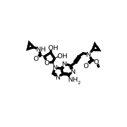 COC(=O)N(CC#Cc1nc(N)c2ncn([C@@H]3O[C@H](C(=O)NC4CC4)C(O)[C@@H]3O)c2n1)C1CC1